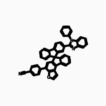 N#Cc1ccc(-c2cc3c(c4ccoc24)-c2ccccc2C32c3ccccc3-c3ccc(-c4nc5ccccc5n4-c4ccccc4)cc32)cc1